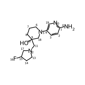 Nc1ccc(N2CCCC(O)(CN3CCC(F)C3)C2)cn1